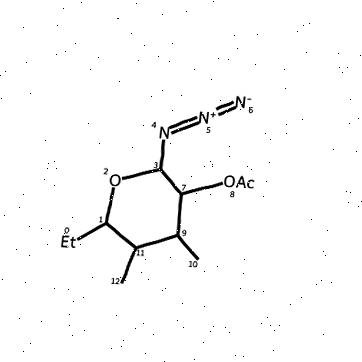 CCC1OC(N=[N+]=[N-])C(OC(C)=O)C(C)C1C